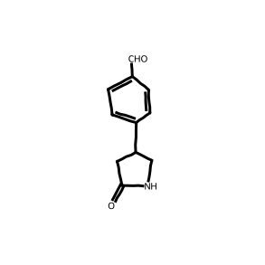 O=Cc1ccc(C2CNC(=O)C2)cc1